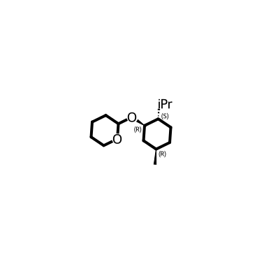 CC(C)[C@@H]1CC[C@@H](C)C[C@H]1OC1CCCCO1